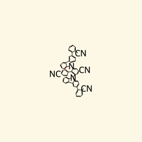 N#Cc1ccc(-c2c(-n3c4ccccc4c4cc(-c5ccccc5C#N)ccc43)cc(C#N)cc2-n2c3ccccc3c3cc(-c4ccccc4C#N)ccc32)cc1